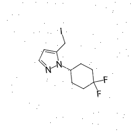 FC1(F)CCC(n2nccc2CI)CC1